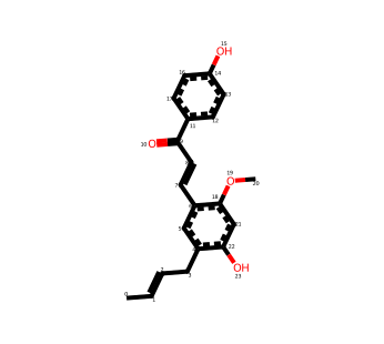 CC=CCc1cc(C=CC(=O)c2ccc(O)cc2)c(OC)cc1O